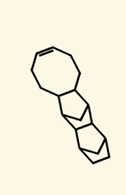 C1=CCCC2C(CC1)C1CC2C2C3CCC(C3)C12